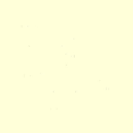 COc1cc(CC(=O)O)cc(OC)c1.COc1ccc(OC)c(CC(=O)O)c1